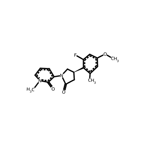 COc1cc(C)c([C@H]2CC(=O)N(c3cccn(C)c3=O)C2)c(F)c1